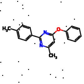 Cc1ccc(-c2nc(C)cc(Oc3ccccc3)n2)cc1